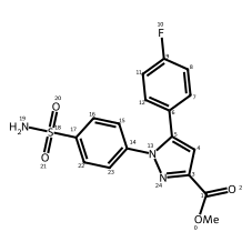 COC(=O)c1cc(-c2ccc(F)cc2)n(-c2ccc(S(N)(=O)=O)cc2)n1